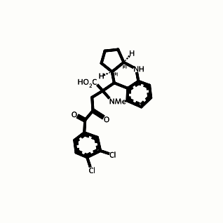 CNC(CC(=O)C(=O)c1ccc(Cl)c(Cl)c1)(C(=O)O)C1c2ccccc2N[C@@H]2CCC[C@H]12